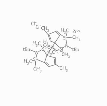 CC1=CC2(C(C)(C)C34C=C(C)C=C3[Si](C)(C)N(C(C)(C)C)[Si]4(C)C)C(=C1)[Si](C)(C)N(C(C)(C)C)[Si]2(C)C.[Cl-].[Cl-].[Zr+2]